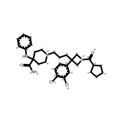 NC(=O)C1(Nc2ccccc2)CCN(CCCC2(c3ccc(Cl)c(Cl)c3)CN(C(=O)C3CCCC3)C2)CC1